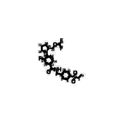 CCS(=O)(=O)c1ccc(CNC(=O)c2cnc(N3CCC[C@H]3COC(F)F)c(F)c2)cc1